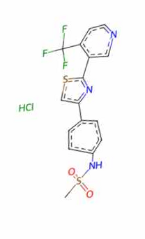 CS(=O)(=O)Nc1ccc(-c2csc(-c3cnccc3C(F)(F)F)n2)cc1.Cl